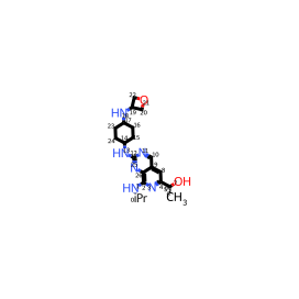 CC(C)Nc1nc([C@@H](C)O)cc2cnc(NC3CCC(NC4COC4)CC3)nc12